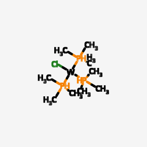 C[PH](C)(C)[W]([Cl])([PH](C)(C)C)[PH](C)(C)C